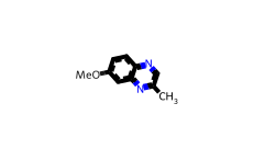 COc1ccc2ncc(C)nc2c1